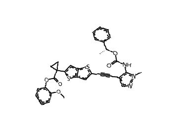 COc1ccccc1OC(=O)C1(c2cc3sc(C#Cc4cnn(C)c4NC(=O)O[C@H](C)c4ccccc4)cc3s2)CC1